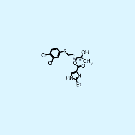 CCc1nc(C(=O)O[C@H](CCSc2ccc(Cl)c(Cl)c2)[C@H](C)O)c[nH]1